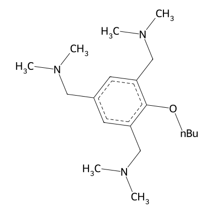 CCCCOc1c(CN(C)C)cc(CN(C)C)cc1CN(C)C